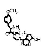 COc1ccc(C[C@@H](N)C(=O)N2CCN(c3ncnc4c3[C@H](C)C[C@H]4O)CC2)cc1